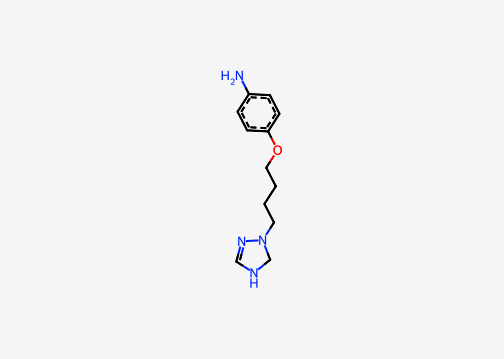 Nc1ccc(OCCCCN2CNC=N2)cc1